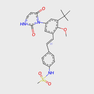 COc1c(/C=C/c2ccc(NS(C)(=O)=O)cc2)cc(-n2c(=O)cc[nH]c2=O)cc1C(C)(C)C